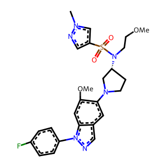 COCCN([C@@H]1CCN(c2cc3cnn(-c4ccc(F)cc4)c3cc2OC)C1)S(=O)(=O)c1cnn(C)c1